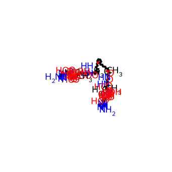 CC(C)(CCCCCCc1ccccc1CCCCCC1(C(=O)CCNC(=O)CCNC(=O)C(O)C(C)(C)COP(=O)(O)OP(=O)(O)OCC2OC(n3cnc4c(N)ncnc43)C(O)C2OP(=O)(O)O)CC1)C(=O)CCNC(=O)CCNC(=O)C(O)C(C)(C)COP(=O)(O)OP(=O)(O)OCC1OC(n2cnc3c(N)ncnc32)C(O)C1OP(=O)(O)O